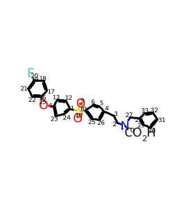 O=C(O)N(CCc1ccc(S(=O)(=O)c2ccc(Oc3ccc(F)cc3)cc2)cc1)Cc1ccccc1